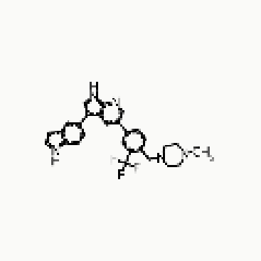 CN1CCN(Cc2ccc(-c3cnc4[nH]cc(-c5ccc6[nH]ccc6c5)c4c3)cc2C(F)(F)F)CC1